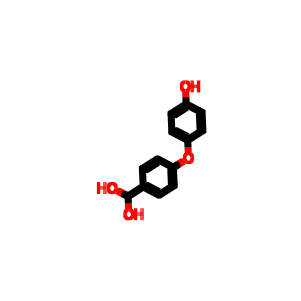 Oc1ccc(Oc2ccc(C(O)O)cc2)cc1